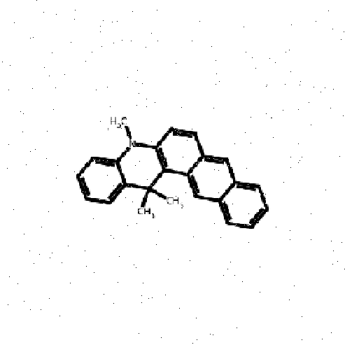 CN1c2ccccc2C(C)(C)c2c1ccc1cc3ccccc3cc21